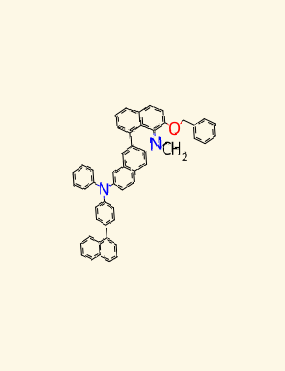 C=Nc1c(OCc2ccccc2)ccc2cccc(-c3ccc4ccc(N(c5ccccc5)c5ccc(-c6cccc7ccccc67)cc5)cc4c3)c12